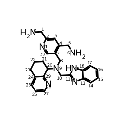 NCc1cc(CN)c(CN(Cc2nc3ccccc3[nH]2)C2CCCc3cccnc32)cn1